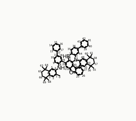 Cc1cc2c(cc1Nc1ccc(-c3ccccc3)cc1-c1cc3oc4ccccc4c3c3c1Bc1ccc(-c4ccccc4)cc1N3c1cc3c(cc1C)C(C)(C)CCC3(C)C)C(C)(C)CCC2(C)C